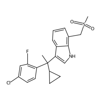 CC(c1ccc(Cl)cc1F)(c1c[nH]c2c(CS(C)(=O)=O)cccc12)C1CC1